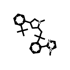 CN1CC(c2ccccc2C(C)(C)C)CC1CC(C)(C)c1ccccc1-c1nccn1C